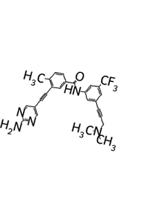 Cc1ccc(C(=O)Nc2cc(C#CCN(C)C)cc(C(F)(F)F)c2)cc1C#Cc1cnc(N)nc1